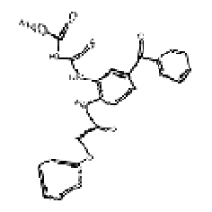 COC(=O)NC(=S)Nc1cc(C(=O)c2ccccc2)ccc1NC(=O)COc1ccccc1